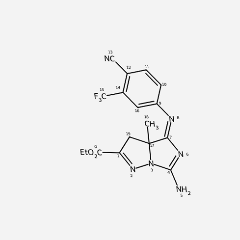 CCOC(=O)C1=NN2C(N)=N/C(=N/c3ccc(C#N)c(C(F)(F)F)c3)C2(C)C1